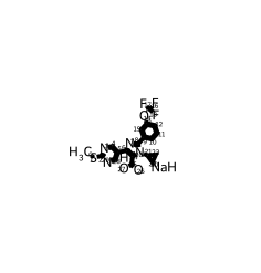 CSc1ncc(-c2nc(-c3cccc(OC(F)(F)F)c3)n(C3CC3)c2C(=O)O)cn1.[NaH]